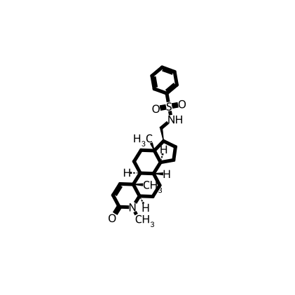 CN1C(=O)C=C[C@]2(C)[C@H]3CC[C@]4(C)[C@@H](CNS(=O)(=O)c5ccccc5)CC[C@H]4[C@@H]3CC[C@@H]12